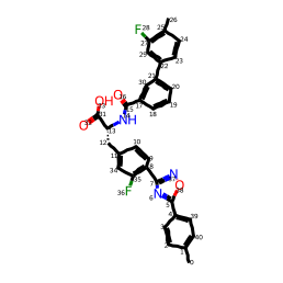 Cc1ccc(-c2nc(-c3ccc(C[C@@H](NC(=O)c4cccc(-c5ccc(C)c(F)c5)c4)C(=O)O)cc3F)no2)cc1